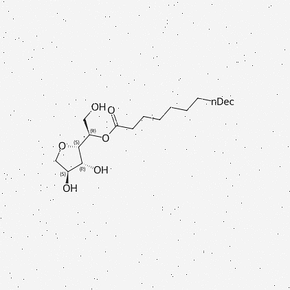 CCCCCCCCCCCCCCCCC(=O)O[C@H](CO)[C@H]1OC[C@H](O)[C@H]1O